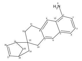 Nc1cccc2cc3c(cc12)CCC1(C3)CC2C=CC1C2